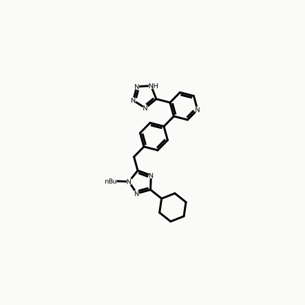 CCCCn1nc(C2CCCCC2)nc1Cc1ccc(-c2cnccc2-c2nnn[nH]2)cc1